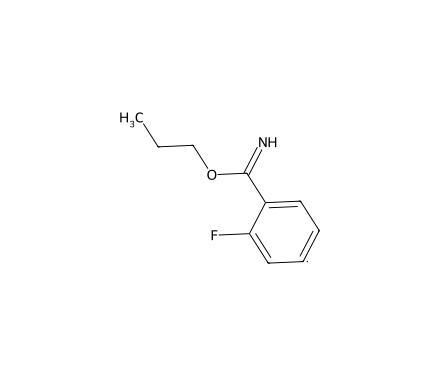 CCCOC(=N)c1cc[c]cc1F